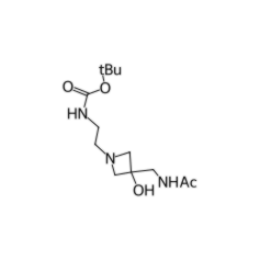 CC(=O)NCC1(O)CN(CCNC(=O)OC(C)(C)C)C1